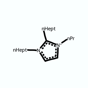 CCCCCCCc1n(CCCCCCC)cc[n+]1CCC